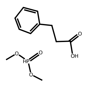 CO[PH](=O)OC.O=C(O)CCc1ccccc1